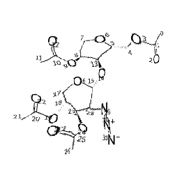 CC(=O)OC[C@H]1OC[C@H](OC(C)=O)[C@@H]1O[C@H]1OC[C@@H](OC(C)=O)[C@H](OC(C)=O)C1N=[N+]=[N-]